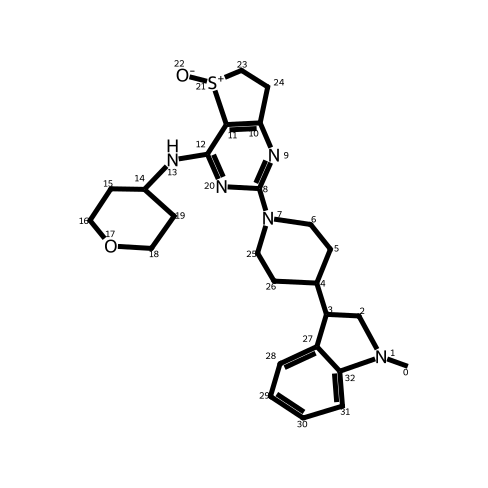 CN1CC(C2CCN(c3nc4c(c(NC5CCOCC5)n3)[S+]([O-])CC4)CC2)c2ccccc21